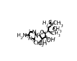 C=C1N=C(N)C=NN1[C@@H]1O[C@H](C(C)CP(=C)(C)C)[C@@H](O)[C@H]1O